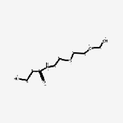 CCOCCOCCNC(=O)CCO